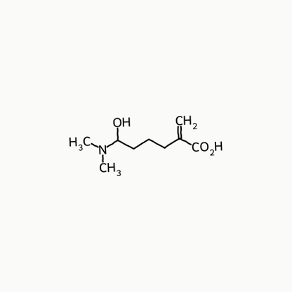 C=C(CCCC(O)N(C)C)C(=O)O